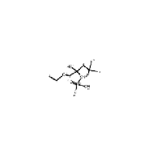 CCOCC(S)(CC(F)(F)F)OP(=O)(O)Cl